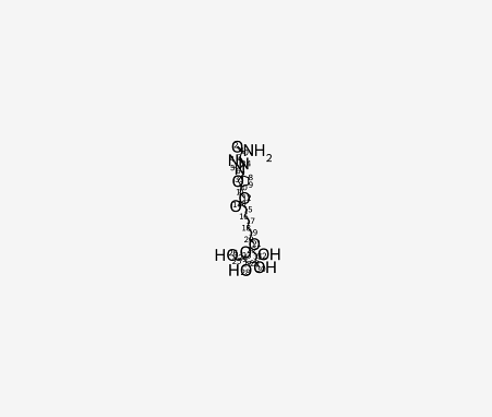 NC(=O)c1ncn(C2CCC(COC(=O)CCCCCCOC3OC(CO)C(O)C(O)C3O)O2)n1